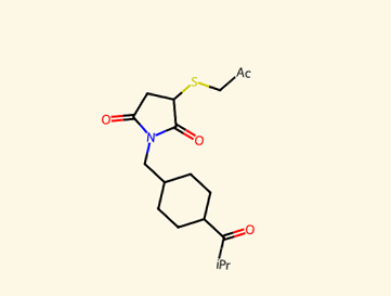 CC(=O)CSC1CC(=O)N(CC2CCC(C(=O)C(C)C)CC2)C1=O